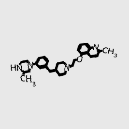 Cc1ccc2c(OCCN3CCC(Cc4cccc(N5CCNC(C)C5)c4)CC3)cccc2n1